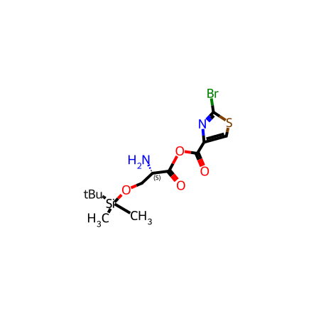 CC(C)(C)[Si](C)(C)OC[C@H](N)C(=O)OC(=O)c1csc(Br)n1